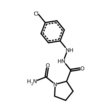 NC(=O)N1CCCC1C(=O)NNc1ccc(Cl)cc1